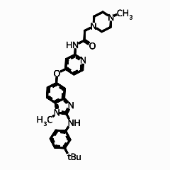 CN1CCN(CC(=O)Nc2cc(Oc3ccc4c(c3)nc(Nc3cccc(C(C)(C)C)c3)n4C)ccn2)CC1